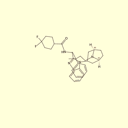 Cc1nc2ccccc2n1C1C[C@H]2CC[C@@H](C1)N2CCC(C)(CNC(=O)C1CCC(F)(F)CC1)c1ccccc1